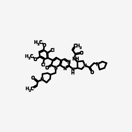 C=CC(=O)NC1CN(C(=O)CN2CCCC2)CC1Nc1ncc2cc(-c3c(Cl)c(OC)cc(OC)c3Cl)c(=O)n(CC3CCN(C(=O)C=C)CC3)c2n1